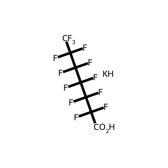 O=C(O)C(F)(F)C(F)(F)C(F)(F)C(F)(F)C(F)(F)C(F)(F)F.[KH]